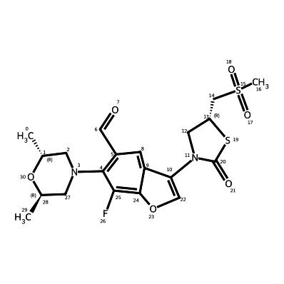 C[C@@H]1CN(c2c(C=O)cc3c(N4C[C@H](CS(C)(=O)=O)SC4=O)coc3c2F)C[C@@H](C)O1